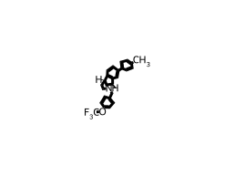 Cc1ccc(-c2ccc3c(c2)[C@H]2C[C@H]3CCN2Cc2ccc(OC(F)(F)F)cc2)cc1